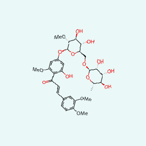 COc1ccc(C=CC(=O)c2c(O)cc(O[C@@H]3O[C@H](CO[C@@H]4O[C@@H](C)[C@H](O)[C@@H](O)[C@H]4O)[C@@H](O)[C@H](O)[C@H]3OC)cc2OC)cc1OC